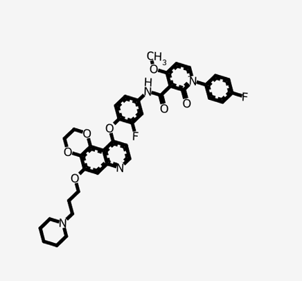 COc1ccn(-c2ccc(F)cc2)c(=O)c1C(=O)Nc1ccc(Oc2ccnc3cc(OCCCN4CCCCC4)c4c(c23)OCCO4)c(F)c1